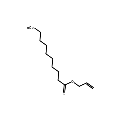 C=CCOC(=O)CCCCCCCCCCCCCCCC